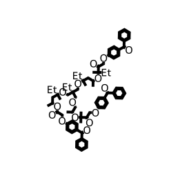 CCC(COCC(C)OC(C)(C)C(=O)COc1ccc(C(=O)c2ccccc2)cc1)(COC(C)(CC)CC(C)OC(=O)COc1ccc(C(=O)c2ccccc2)cc1)COC(C)(CC)CC(C)OC(C)(CC)C(=O)COc1ccc(C(=O)c2ccccc2)cc1